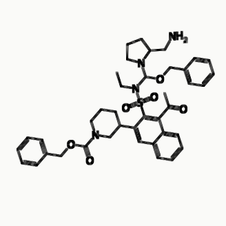 CCN(C(OCc1ccccc1)N1CCCC1CN)S(=O)(=O)c1c(C2CCCN(C(=O)OCc3ccccc3)C2)cc2ccccc2c1C(C)=O